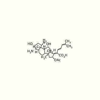 CC(=O)O[C@H]1C[C@@]2(C)[C@@H](C[C@@H](O)[C@H]3[C@@]4(C)[C@H](N)C[C@@H](O)[C@@H](N)[C@@H]4CC[C@@]32C)/C1=C(\C=C\C=C(C)C)C(=O)O